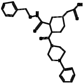 O=C(O)CC1CCC(C(=O)N2CCN(c3ccccc3)CC2)C(C(=O)NOCc2ccccc2)C1